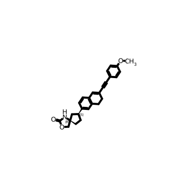 COc1ccc(C#CC2=Cc3ccc([C@H]4CC[C@]5(COC(=O)N5)C4)cc3CC2)cc1